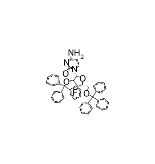 Nc1ccn([C@@H]2O[C@H](COC(c3ccccc3)(c3ccccc3)c3ccccc3)[C@H](F)[C@H]2OC(c2ccccc2)(c2ccccc2)c2ccccc2)c(=O)n1